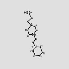 OCCC1CCN(CCN2CCCCC2)CC1